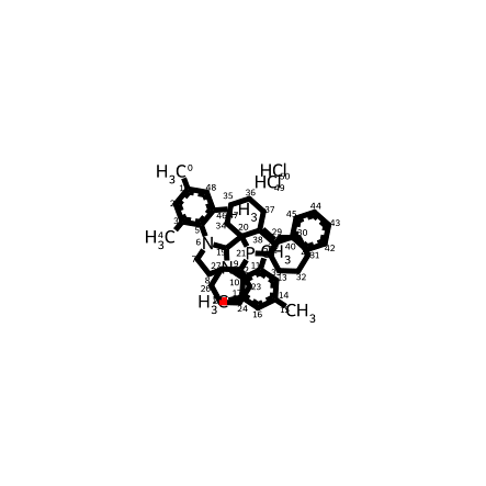 Cc1cc(C)c(N2CCN(c3c(C)cc(C)cc3C)C2C2(P(C3CCCCC3)C3CCCCC3)CCCCC2=Cc2ccccc2)c(C)c1.Cl.Cl